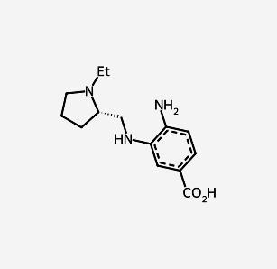 CCN1CCC[C@H]1CNc1cc(C(=O)O)ccc1N